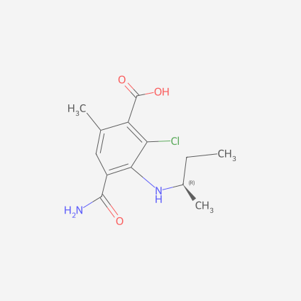 CC[C@@H](C)Nc1c(C(N)=O)cc(C)c(C(=O)O)c1Cl